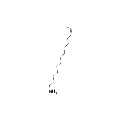 C/C=C\CCCCCCCCCCCN